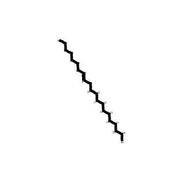 CCCCCCC/C=C/CCCCCCCCCCCC